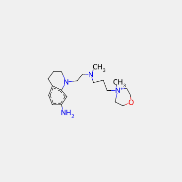 CN(CCC[N+]1(C)CCOCC1)CCN1CCCc2ccc(N)cc21